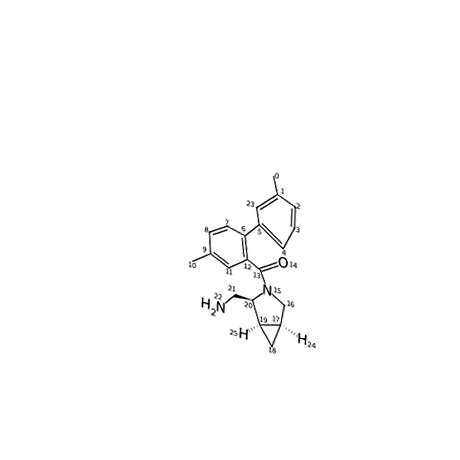 Cc1cccc(-c2ccc(C)cc2C(=O)N2C[C@H]3C[C@H]3[C@H]2CN)c1